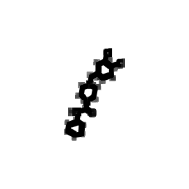 O=C(Nc1ccccc1)N1CCN(Cc2ccc(Cl)c(Cl)c2)CC1